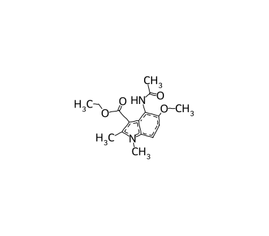 CCOC(=O)c1c(C)n(C)c2ccc(OC)c(NC(C)=O)c12